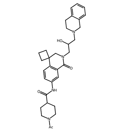 CC(=O)N1CCC(C(=O)Nc2ccc3c(c2)C(=O)N(CC(O)CN2CCc4ccccc4C2)CC32CCC2)CC1